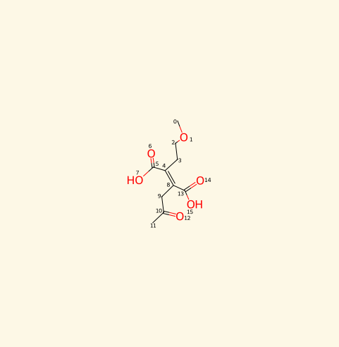 COCCC(C(=O)O)=C(CC(C)=O)C(=O)O